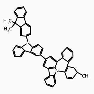 CC1C=CC2=C(C1)c1ccccc1-c1cc(-c3ccc4c(c3)c3ccccc3n4-c3ccc4c(c3)C(C)(C)c3ccccc3-4)cc3c4ccccc4n2c13